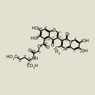 Cc1nc2cc(O)c(O)cn2c(=O)c1-c1coc2cc(O)c(O)c(C(=O)OCC(=O)N[C@@H](CCC(=O)O)C(=O)O)c2c1=O